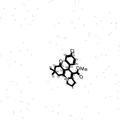 COC(=O)C1=C2CCCN2C2=C(C(=O)CC(C)(C)C2)C1c1ccc(Cl)cc1